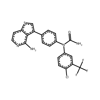 NC(=O)N(c1ccc(-c2csc3ccnc(N)c23)cc1)c1ccc(Cl)c(C(F)(F)F)c1